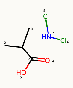 CC(C)C(=O)O.ClNCl